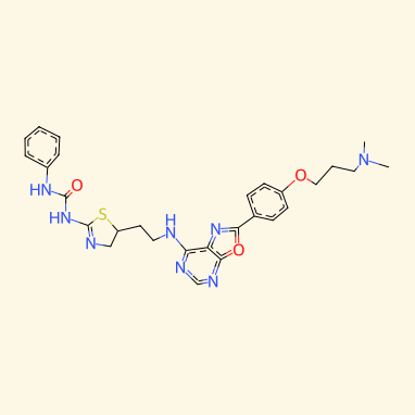 CN(C)CCCOc1ccc(-c2nc3c(NCCC4CN=C(NC(=O)Nc5ccccc5)S4)ncnc3o2)cc1